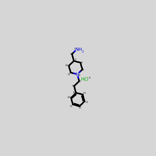 Cl.NCC1CCN(CCc2ccccc2)CC1